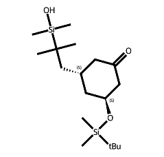 CC(C)(C[C@@H]1CC(=O)C[C@@H](O[Si](C)(C)C(C)(C)C)C1)[Si](C)(C)O